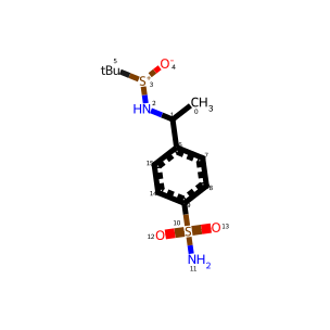 CC(N[S+]([O-])C(C)(C)C)c1ccc(S(N)(=O)=O)cc1